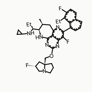 CCc1c(F)ccc2cccc(-c3nc4c5c(nc(OC[C@@]67CCCN6C[C@H](F)C7)nc5c3F)N[C@@H]([C@H](CC)NC3CC3)[C@@H](C)C4)c12